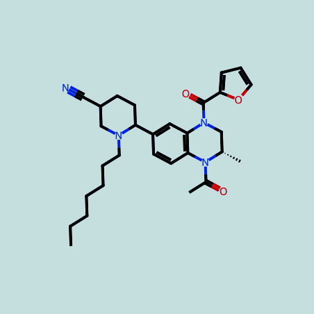 CCCCCCCN1CC(C#N)CCC1c1ccc2c(c1)N(C(=O)c1ccco1)C[C@H](C)N2C(C)=O